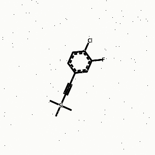 C[Si](C)(C)C#Cc1ccc(Cl)c(F)c1